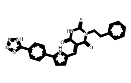 O=C1NC(=S)N(CCc2ccccc2)C(=O)/C1=C/c1ccc(-c2ccc(-c3nnn[nH]3)cc2)[nH]1